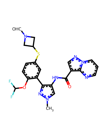 Cn1cc(NC(=O)c2cnn3cccnc23)c(-c2cc(SC3CN(C=O)C3)ccc2OC(F)F)n1